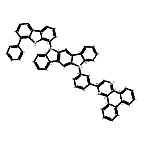 c1ccc(-c2cccc3c2sc2c(-n4c5ccccc5c5cc6c(cc54)c4ccccc4n6-c4cccc(-c5cnc6c7ccccc7c7ccccc7c6n5)c4)cccc23)cc1